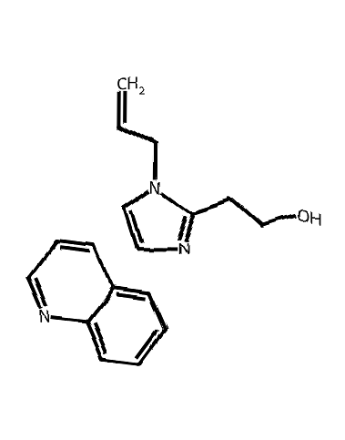 C=CCn1ccnc1CCO.c1ccc2ncccc2c1